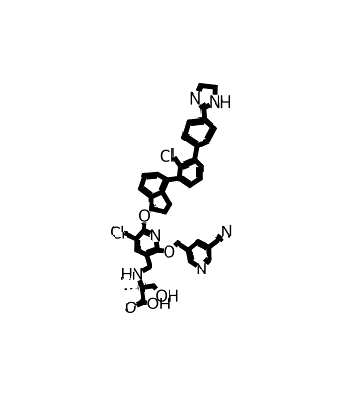 C[C@@](CO)(NCc1cc(Cl)c(O[C@H]2CCc3c(-c4cccc(-c5ccc(C6=NCCN6)cc5)c4Cl)cccc32)nc1OCc1cncc(C#N)c1)C(=O)O